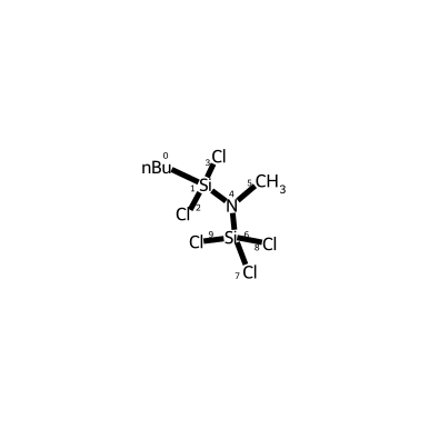 CCCC[Si](Cl)(Cl)N(C)[Si](Cl)(Cl)Cl